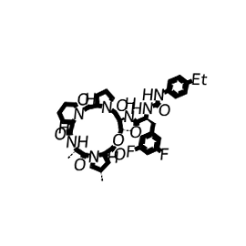 CCc1ccc(NC(=O)N[C@@H](Cc2cc(F)cc(F)c2)C(=O)N[C@@H]2C(=O)N3CCC[C@H]3C(=O)N3CCCC[C@H]3C(=O)N[C@@H](C)C(=O)N3C[C@@H](C)C[C@H]3C(=O)O[C@H]2C)cc1